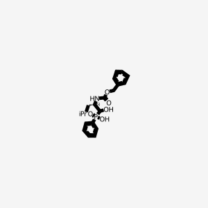 CC(C)C[C@H](NC(=O)OCc1ccccc1)C(O)P(=O)(O)c1ccccc1